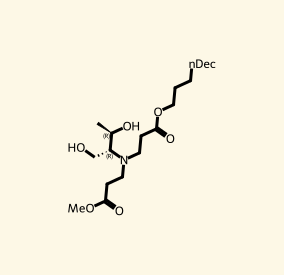 CCCCCCCCCCCCCOC(=O)CCN(CCC(=O)OC)[C@H](CO)[C@@H](C)O